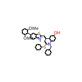 COc1cccc(OC)c1-c1ccc2c(c1)sc(C=C1C=C(Sc3ccccc3)N(Cc3ccccc3)c3ccc(O)cc31)[n+]2C